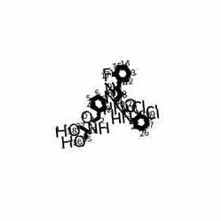 O=C(Cc1cccc(-n2nc(-c3ccccc3F)cc2NC(=O)Nc2cccc(Cl)c2Cl)c1)NC(CO)CO